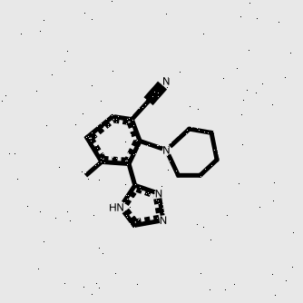 Cc1ccc(C#N)c(N2CCCCC2)c1-c1nnc[nH]1